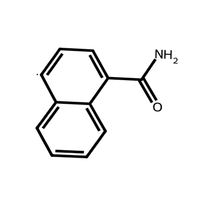 NC(=O)c1cc[c]c2ccccc12